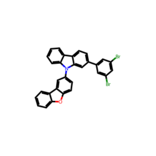 Brc1cc(Br)cc(-c2ccc3c4ccccc4n(-c4ccc5oc6ccccc6c5c4)c3c2)c1